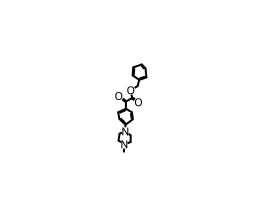 CN1CCN(c2ccc(C(=O)C(=O)OCc3ccccc3)cc2)CC1